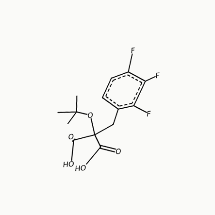 CC(C)(C)OC(Cc1ccc(F)c(F)c1F)(C(=O)O)C(=O)O